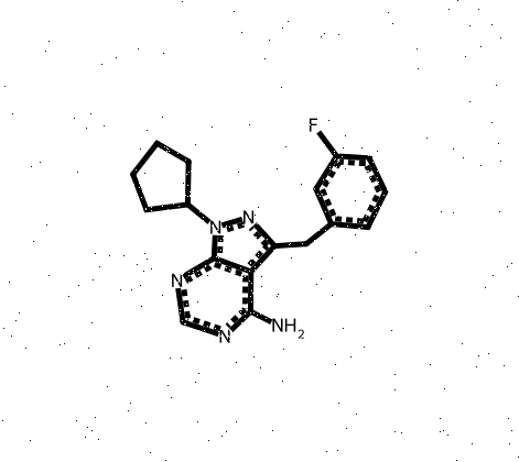 Nc1ncnc2c1c(Cc1cccc(F)c1)nn2C1CCCC1